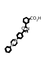 O=C(O)C1=CC(c2nnc(-c3ccc(N4CCN(c5ccccc5)CC4)cc3)o2)=CCC1